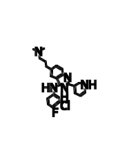 CN(C)CCCc1ccc2c(c1)C(Nc1ccc(F)c(Cl)c1)NC(C1=CC=CNC1)=N2